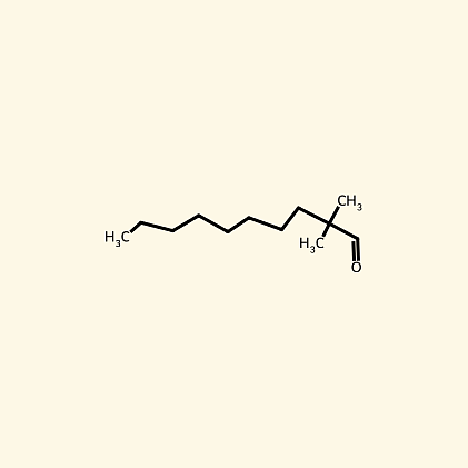 CCCCCCCCC(C)(C)C=O